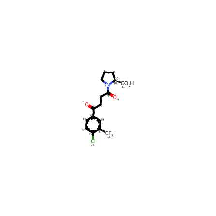 O=C(CCC(=O)N1CCC[C@H]1C(=O)O)c1ccc(Cl)c(C(F)(F)F)c1